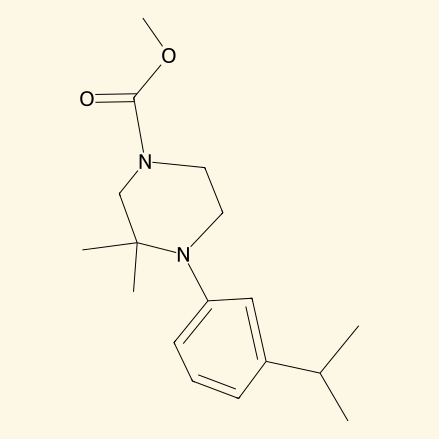 COC(=O)N1CCN(c2cccc(C(C)C)c2)C(C)(C)C1